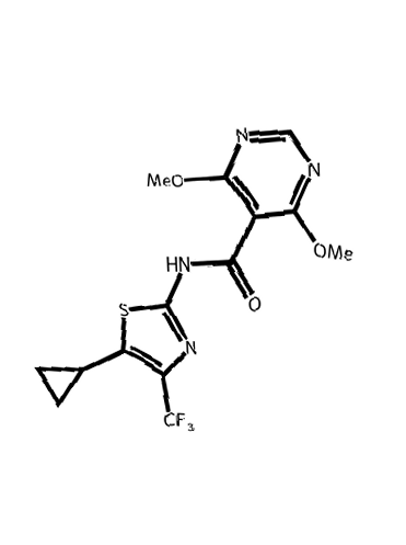 COc1ncnc(OC)c1C(=O)Nc1nc(C(F)(F)F)c(C2CC2)s1